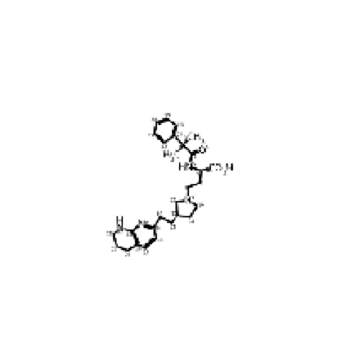 CC(C)(C(=O)NC(CCN1CC[C@@H](CCc2ccc3c(n2)NCCC3)C1)C(=O)O)c1ccccc1